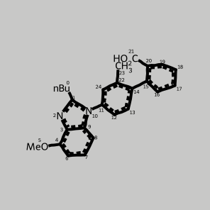 CCCCc1nc2c(OC)cccc2n1-c1ccc(-c2ccccc2C(=O)O)c(C)c1